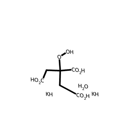 O.O=C(O)CC(CC(=O)O)(OO)C(=O)O.[KH].[KH]